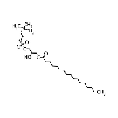 CCCCCCCCCCCCCCCCC(=O)OC[C@@H](O)COP(=O)([O-])OCC[N+](C)(C)C